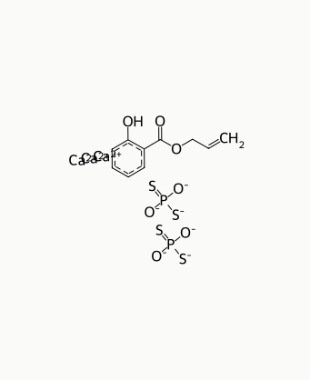 C=CCOC(=O)c1ccccc1O.[Ca+2].[Ca+2].[Ca+2].[O-]P([O-])(=S)[S-].[O-]P([O-])(=S)[S-]